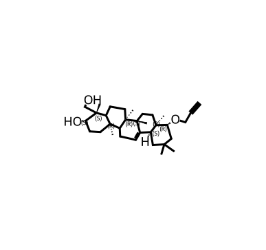 C#CCO[C@@H]1CC(C)(C)C[C@H]2C3=CCC4[C@@]5(C)CC[C@H](O)[C@](C)(CO)C5CC[C@@]4(C)[C@]3(C)CC[C@@]12C